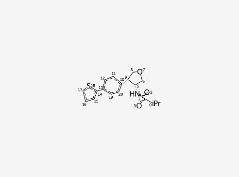 CC(C)S(=O)(=O)N[C@H]1COC[C@H]1c1ccc(-c2cccs2)cc1